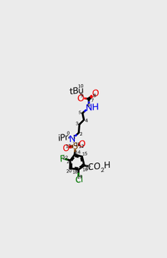 CC(C)N(CCCCNC(=O)OC(C)(C)C)S(=O)(=O)c1cc(C(=O)O)c(Cl)cc1F